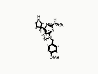 COc1ccc(Cn2nnc3c([C@]4(NC(C)=O)CCNC4)nc(NC(C)(C)C)nc32)cc1